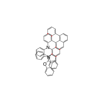 c1ccc(-c2cccc3cccc(-c4ccccc4N(c4ccccc4-c4cccc5c4oc4ccccc45)c4cccc5c6ccccc6n(-c6ccccc6)c45)c23)cc1